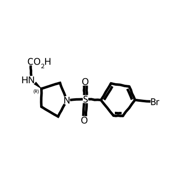 O=C(O)N[C@@H]1CCN(S(=O)(=O)c2ccc(Br)cc2)C1